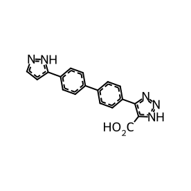 O=C(O)c1[nH]nnc1-c1ccc(-c2ccc(-c3ccn[nH]3)cc2)cc1